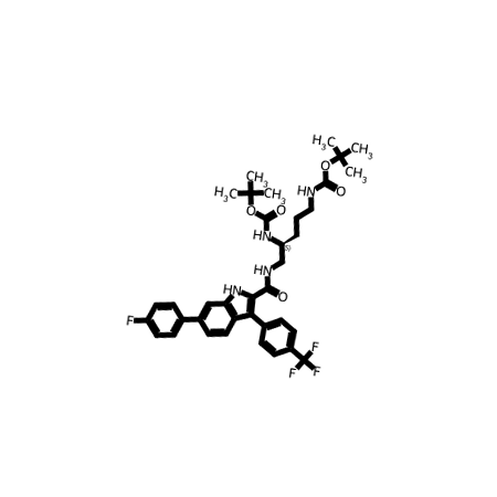 CC(C)(C)OC(=O)NCCC[C@@H](CNC(=O)c1[nH]c2cc(-c3ccc(F)cc3)ccc2c1-c1ccc(C(F)(F)F)cc1)NC(=O)OC(C)(C)C